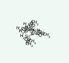 COc1cccc([SiH2]CCC[Si](CCC[SiH2]c2cccc(OC)c2OC)(CCC[SiH2]c2cccc(OC)c2OC)CCC[SiH2]c2cccc(OC)c2OC)c1OC